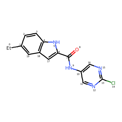 CCc1ccc2[nH]c(C(=O)Nc3cnc(Cl)nc3)cc2c1